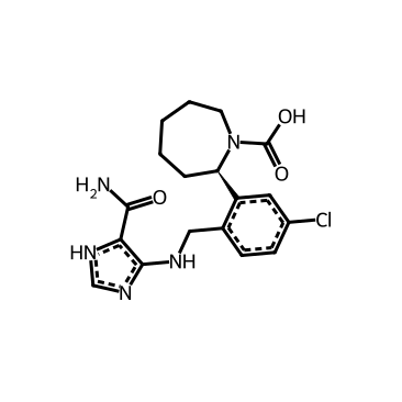 NC(=O)c1[nH]cnc1NCc1ccc(Cl)cc1[C@H]1CCCCCN1C(=O)O